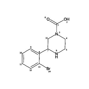 O=C(O)N1CCNC(c2ccccc2Br)C1